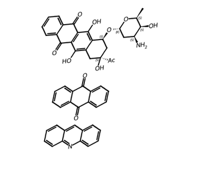 CC(=O)[C@]1(O)Cc2c(O)c3c(c(O)c2[C@@H](O[C@H]2C[C@H](N)[C@H](O)[C@H](C)O2)C1)C(=O)c1ccccc1C3=O.O=C1c2ccccc2C(=O)c2ccccc21.c1ccc2nc3ccccc3cc2c1